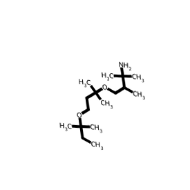 CCC(C)(C)OCCC(C)(C)OCC(C)C(C)(C)N